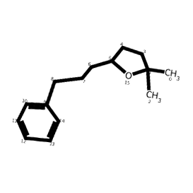 CC1(C)CCC(CCCc2ccccc2)O1